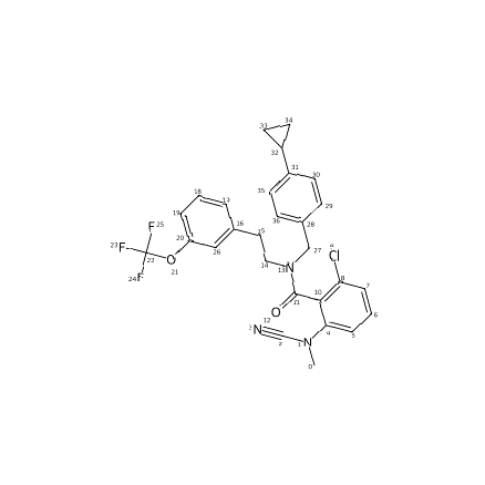 CN(C#N)c1cccc(Cl)c1C(=O)N(CCc1cccc(OC(F)(F)F)c1)Cc1ccc(C2CC2)cc1